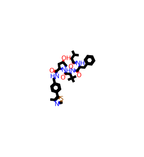 Cc1ncsc1-c1ccc(CNC(=O)C2CC(O)CN2C(=O)C(NC(=O)C(Cc2ccccc2)NC(=O)CC(C)C)C(C)(C)C)cc1